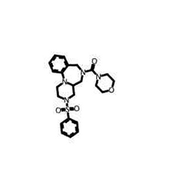 O=C(N1CCOCC1)N1Cc2ccccc2N2CCN(S(=O)(=O)c3ccccc3)CC2C1